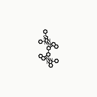 c1ccc(-c2cc3nc(-n4c5ccc(-c6ccc7c(c6)c6c8ccccc8ccc6n7-c6nc(-c7ccccc7)c7ccccc7n6)cc5c5c6ccccc6ccc54)nc(-c4ccccc4)c3s2)cc1